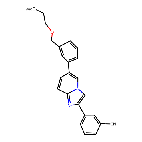 COCCOCc1cccc(-c2ccc3nc(-c4cccc(C#N)c4)cn3c2)c1